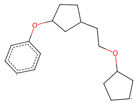 [c]1ccc(OC2CCC(CCOC3C[CH]CC3)C2)cc1